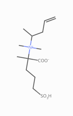 C=CCC(C)[N+](C)(C)C(C)(CCCS(=O)(=O)O)C(=O)[O-]